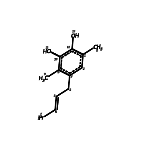 Cc1cc(CC=CC(C)C)c(C)c(O)c1O